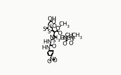 CCOC(=O)C(=C1SC(=S)N(CC(=O)O)C1=O)c1csc(NC(=O)Nc2ccc([N+](=O)[O-])cc2)n1.CN(C)C=O.CN(C)C=O